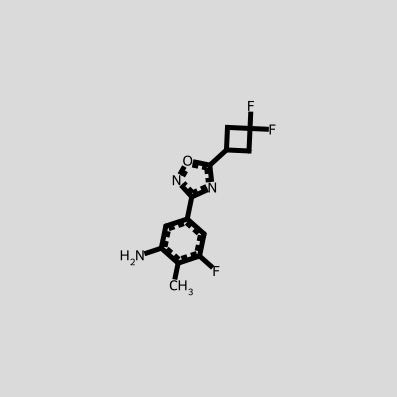 Cc1c(N)cc(-c2noc(C3CC(F)(F)C3)n2)cc1F